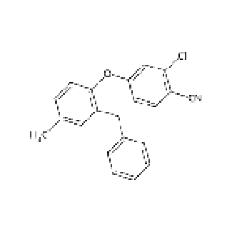 Cc1ccc(Oc2ccc(C#N)c(Cl)c2)c(Cc2ccccc2)c1